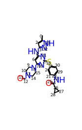 Cc1cc(Nc2cc(N3CCN(C=O)CC3)nc(Sc3ccc(NC(=O)C4CC4)cc3)n2)n[nH]1